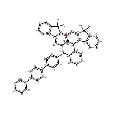 CC1(C)c2ccccc2-c2cc(N(c3ccc(-c4ccc(-c5ccccc5)cc4)cc3)c3ccccc3-c3cccc4c3-c3ccccc3C4(C)C)ccc21